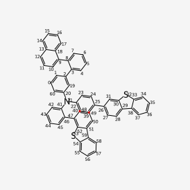 c1cc(-c2ccccc2-c2cccc3ccccc23)cc(N(c2ccc(-c3ccc4c(c3)sc3ccccc34)cc2)c2ccccc2-c2cccc3c2sc2ccccc23)c1